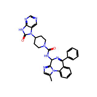 Cc1cnc2n1-c1ccccc1C(c1ccccc1)=NC2NC(=O)N1CCC(n2c(=O)[nH]c3ncncc32)CC1